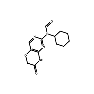 O=CN(c1ncc2c(n1)NC(=O)CO2)C1CCCCC1